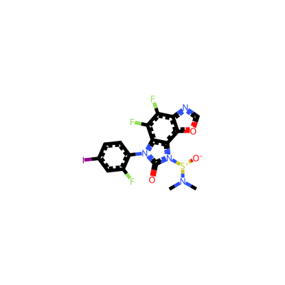 CN(C)[S+]([O-])n1c(=O)n(-c2ccc(I)cc2F)c2c(F)c(F)c3ncoc3c21